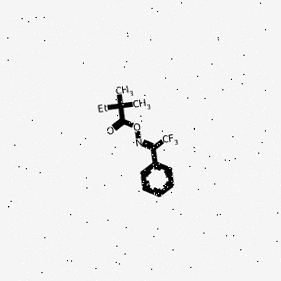 CCC(C)(C)C(=O)ON=C(c1ccccc1)C(F)(F)F